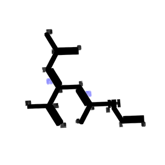 C=CN/C(C)=C/C(=C\C(=C)C)C(=C)C